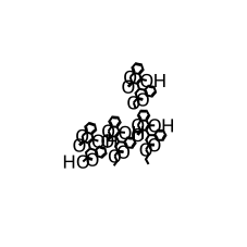 CCCOC(=O)CC(c1ccccc1)c1c(O)c2ccccc2oc1=O.CCOC(=O)CC(c1ccccc1)c1c(O)c2ccccc2oc1=O.COC(=O)CC(c1ccccc1)c1c(O)c2ccccc2oc1=O.O=C(O)CC(c1ccccc1)c1c(O)c2ccccc2oc1=O